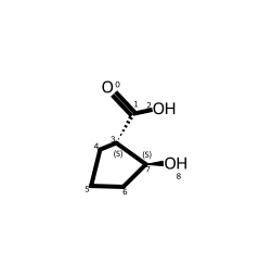 O=C(O)[C@H]1CCC[C@@H]1O